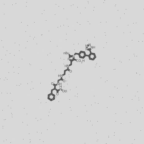 CCCCc1nc(CNC(=O)CCNC(=O)CNC(=O)C(Cc2ccccc2)C(=O)NO)c(C(=O)O)n1Cc1ccc(-c2ccccc2-c2nnn[nH]2)cc1